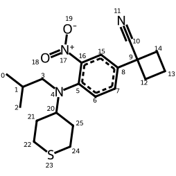 CC(C)CN(c1ccc(C2(C#N)CCC2)cc1[N+](=O)[O-])C1CCSCC1